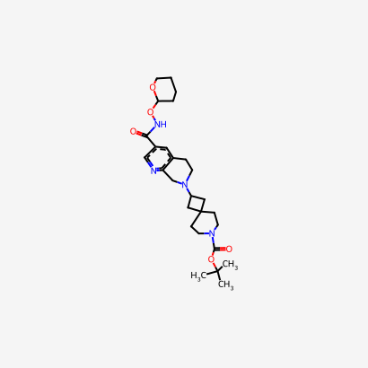 CC(C)(C)OC(=O)N1CCC2(CC1)CC(N1CCc3cc(C(=O)NOC4CCCCO4)cnc3C1)C2